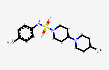 COc1ccc(NS(=O)(=O)N2CCC(N3CCC(C)CC3)CC2)cc1